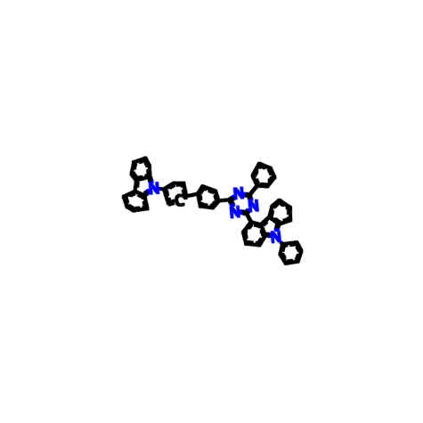 c1ccc(-c2nc(-c3ccc(-c4ccc(-n5c6ccccc6c6ccccc65)cc4)cc3)nc(-c3cccc4c3c3ccccc3n4-c3ccccc3)n2)cc1